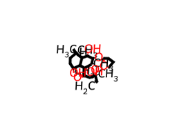 C=C[C@@]1(C)CC(=O)[C@]2(O)[C@@]3(C)[C@@H](O)CCC(C)(C)[C@@H]3[C@H](O)[C@H](OC3CCCO3)[C@@]2(C)O1